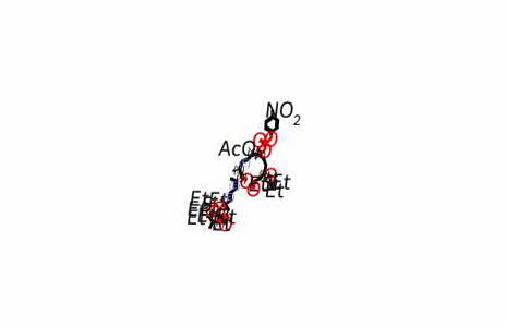 CCC(O[Si](CC)(CC)CC)C(C)[C@H]1O[C@@H]1CC(C)(/C=C/C=C(\C)[C@H]1OC(=O)C[C@H](O[Si](CC)(CC)CC)CC[C@@](C)(OC(=O)Oc2ccc([N+](=O)[O-])cc2)[C@@H](OC(C)=O)/C=C/[C@@H]1C)O[Si](CC)(CC)CC